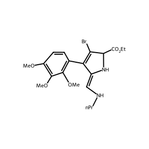 CCCNC=C1NC(C(=O)OCC)C(Br)=C1c1ccc(OC)c(OC)c1OC